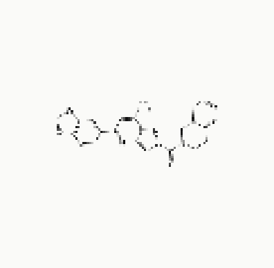 O=C(c1cc2nc(-c3ccc4c(c3)OCO4)cc(C(F)(F)F)n2n1)N1CCc2ccccc2C1